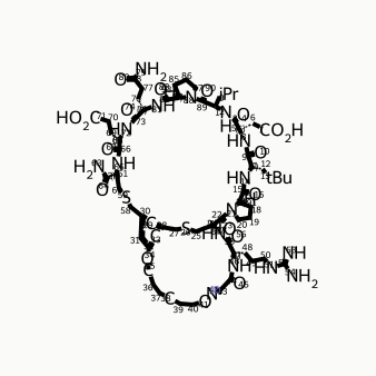 CC(C)C1NC(=O)[C@H](CC(=O)O)NC(=O)[C@H](CC(C)(C)C)NC(=O)[C@@H]2CCCN2C(=O)[C@@H]2CSCc3cc(cc(c3)OCCCCCCO/N=C/C(=O)N[C@@H](CCCNC(=N)N)C(=O)N2)CSC[C@@H](C(N)=O)NC(=O)[C@H](CCC(=O)O)NC(=O)[C@H](CCC(N)=O)NC(=O)[C@@H]2CCCN2C1=O